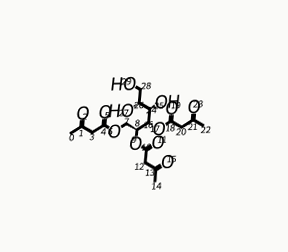 CC(=O)CC(=O)OC[C@H](OC(=O)CC(C)=O)[C@@H](OC(=O)CC(C)=O)[C@H](O)[C@H](O)CO